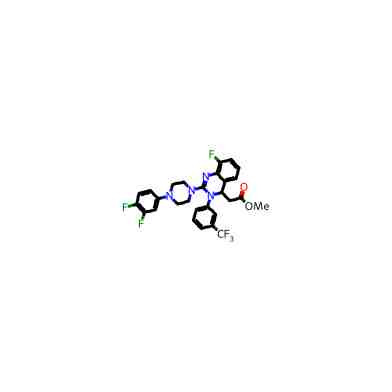 COC(=O)CC1c2cccc(F)c2N=C(N2CCN(c3ccc(F)c(F)c3)CC2)N1c1cccc(C(F)(F)F)c1